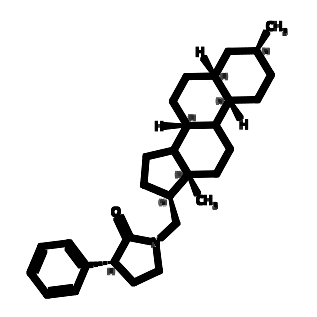 C[C@H]1CC[C@@H]2C3CC[C@@]4(C)C(CC[C@@H]4CN4CC[C@H](c5ccccc5)C4=O)[C@@H]3CC[C@@H]2C1